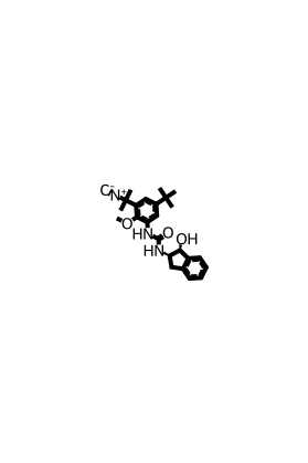 [C-]#[N+]C(C)(C)c1cc(C(C)(C)C)cc(NC(=O)N[C@@H]2Cc3ccccc3[C@@H]2O)c1OC